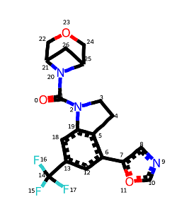 O=C(N1CCc2c(-c3cnco3)cc(C(F)(F)F)cc21)N1C2COCC1C2